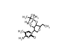 CCC1OCC(n2cc(C)c(N)nc2=O)C(F)C1O[Si](C)(C)C(C)(C)C